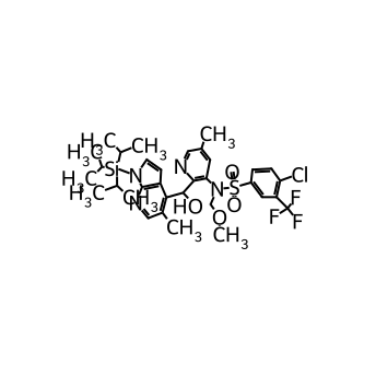 COCN(c1cc(C)cnc1C(O)c1c(C)cnc2c1ccn2[Si](C(C)C)(C(C)C)C(C)C)S(=O)(=O)c1ccc(Cl)c(C(F)(F)F)c1